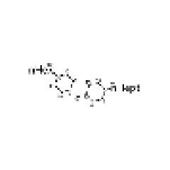 CCCCCCCC1CCC(C[C@H]2CC[C@H](CCCCCC)CC2)CC1